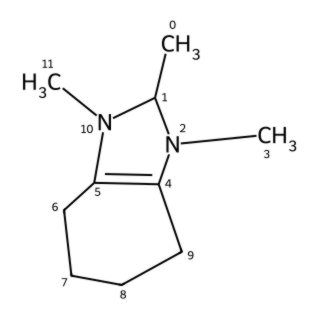 CC1N(C)C2=C(CCCC2)N1C